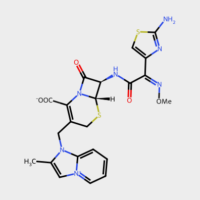 CO/N=C(\C(=O)N[C@@H]1C(=O)N2C(C(=O)[O-])=C(Cn3c(C)c[n+]4ccccc34)CS[C@@H]12)c1csc(N)n1